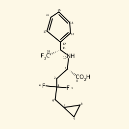 O=C(O)[C@H](CC(F)(F)CC1CC1)N[C@@H](c1ccccc1)C(F)(F)F